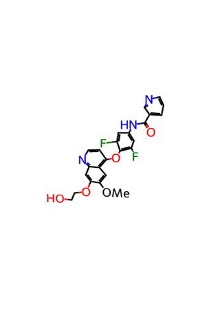 COc1cc2c(Oc3c(F)cc(NC(=O)c4cccnc4)cc3F)ccnc2cc1OCCO